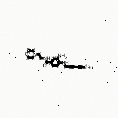 CCCCC#CC#CCNc1ccc(C(=O)NCCN2CCOCC2)cc1N